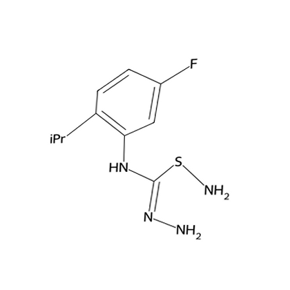 CC(C)c1ccc(F)cc1N/C(=N/N)SN